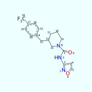 O=C(Nc1ccon1)N1CCCC(Cc2ccc(C(F)(F)F)cc2)C1